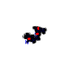 N#Cc1cccc(-c2ccc(-n3c4ccccc4c4cc(-n5c6ccccc6c6cc(-c7ccc(-c8ccc(-n9c%10ccccc%10c%10ccc(-n%11c%12ccccc%12c%12ccccc%12%11)cc%109)c(C#N)c8-n8c9ccccc9c9ccc(-n%10c%11ccccc%11c%11ccccc%11%10)cc98)cc7C#N)ccc65)ccc43)c(C#N)c2-n2c3ccccc3c3cc(-n4c5ccccc5c5ccccc54)ccc32)c1